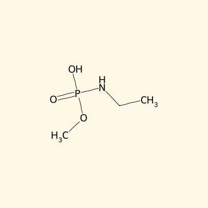 CCNP(=O)(O)OC